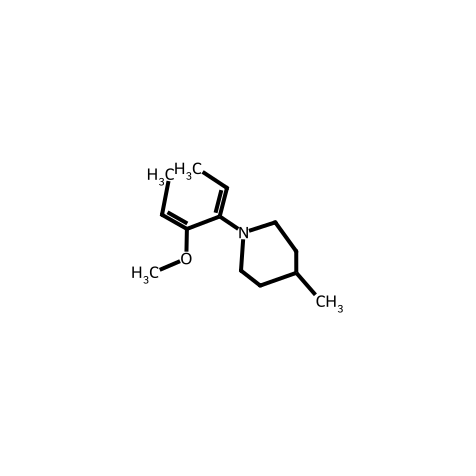 C/C=C(OC)\C(=C/C)N1CCC(C)CC1